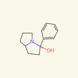 OC1(c2ccccc2)CCC2CCCN21